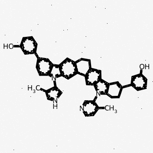 Cc1ccncc1-n1c2c(c3cc4c(cc31)-c1cc3c(cc1CC4)c1cc(-c4cccc(O)c4)ccc1n3-c1c[nH]cc1C)C=C(c1cccc(O)c1)CC2